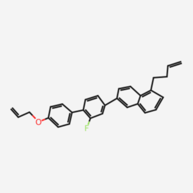 C=CCCc1cccc2cc(-c3ccc(-c4ccc(OCC=C)cc4)c(F)c3)ccc12